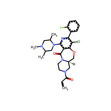 C=CC(=O)N1CCN2C(=O)c3c(N4CC(C)N(C)CC4C)nc(-c4ccccc4F)c(Cl)c3OC[C@H]2C1